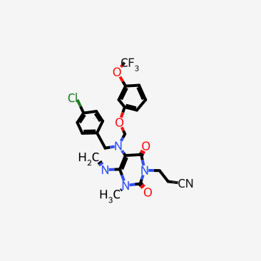 C=Nc1c(N(COc2cccc(OC(F)(F)F)c2)Cc2ccc(Cl)cc2)c(=O)n(CCC#N)c(=O)n1C